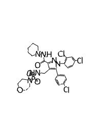 O=C(NN1CCCCC1)c1nn(-c2ccc(Cl)cc2Cl)c(-c2ccc(Cl)cc2)c1CNS(=O)(=O)N1CCOCC1